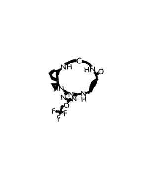 O=C1NCCCCCNc2cccc(c2)C2(CC2)Nc2nc(nc(OCC(F)(F)F)n2)Nc2ccc1cc2